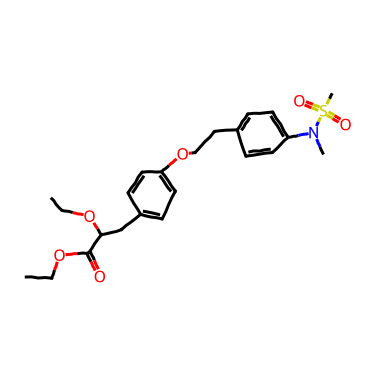 CCOC(=O)C(Cc1ccc(OCCc2ccc(N(C)S(C)(=O)=O)cc2)cc1)OCC